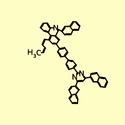 C/C=C\C=C/c1cc(-c2ccc(-c3ccc(-c4nc(-c5ccc6ccccc6c5)cc(-c5ccc6ccccc6c5)n4)cc3)cc2)cc2c(-c3ccc4ccccc4c3)nc3ccccc3c12